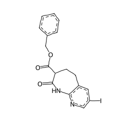 O=C1Nc2ncc(I)cc2CCC1C(=O)OCc1ccccc1